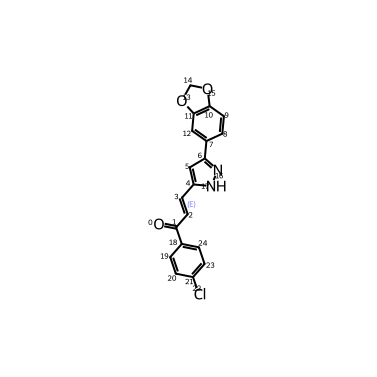 O=C(/C=C/c1cc(-c2ccc3c(c2)OCO3)n[nH]1)c1ccc(Cl)cc1